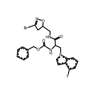 O=C(NC(Cn1ccc2c(F)cccc21)C(=O)NCC1CC(Br)=NO1)OCc1ccccc1